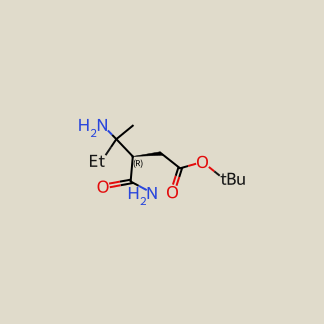 CCC(C)(N)[C@@H](CC(=O)OC(C)(C)C)C(N)=O